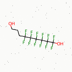 OCCCC(F)(F)C(F)(F)C(F)(F)C(F)(F)C(F)(F)C(O)(F)F